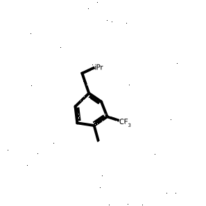 Cc1ccc(CC(C)C)cc1C(F)(F)F